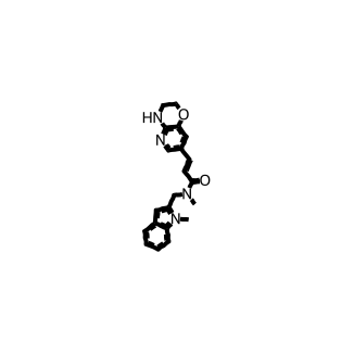 CN(Cc1cc2ccccc2n1C)C(=O)C=Cc1cnc2c(c1)OCCN2